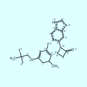 CC1CC(OCC(C)(F)F)=CC(F)=C1[C@H]1CC(=O)N1c1ccc2[nH]cnc2c1